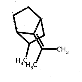 CC(C)=C1[C]2CCC1C(C)C2